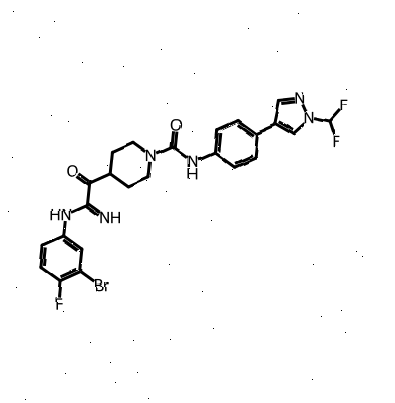 N=C(Nc1ccc(F)c(Br)c1)C(=O)C1CCN(C(=O)Nc2ccc(-c3cnn(C(F)F)c3)cc2)CC1